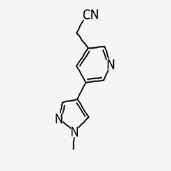 Cn1cc(-c2cncc(CC#N)c2)cn1